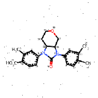 Cc1cc(N2C(=O)N(c3ccc(C#N)c(C(F)(F)F)c3)C3COCCC32)ccc1C(=O)O